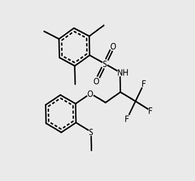 CSc1ccccc1OCC(NS(=O)(=O)c1c(C)cc(C)cc1C)C(F)(F)F